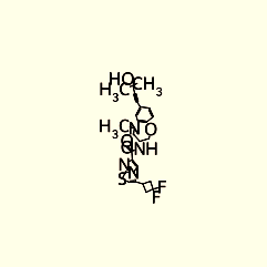 CN1C(=O)[C@@H](NC(=O)c2cn3c(C4CC(F)(F)C4)csc3n2)COc2ccc(C#CC(C)(C)O)cc21